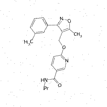 Cc1cccc(-c2noc(C)c2COc2ccc(C(=O)NC(C)C)cn2)c1